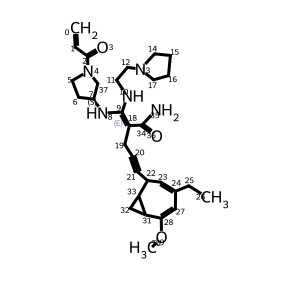 C=CC(=O)N1CC[C@H](N/C(NCCN2CCCC2)=C(\CC#CC2C=C(CC)C=C(OC)C3CC23)C(N)=O)C1